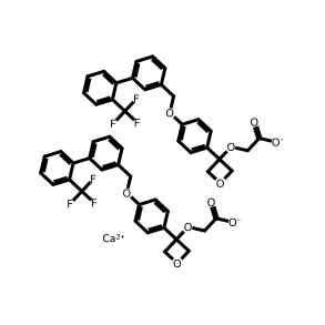 O=C([O-])COC1(c2ccc(OCc3cccc(-c4ccccc4C(F)(F)F)c3)cc2)COC1.O=C([O-])COC1(c2ccc(OCc3cccc(-c4ccccc4C(F)(F)F)c3)cc2)COC1.[Ca+2]